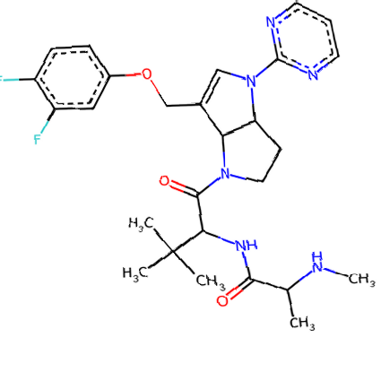 CNC(C)C(=O)NC(C(=O)N1CCC2C1C(COc1ccc(F)c(F)c1)=CN2c1ncccn1)C(C)(C)C